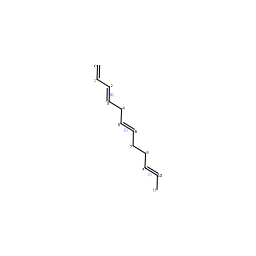 C=C/C=C/C/C=C/CC/C=C/C